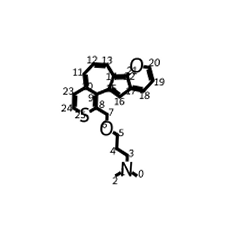 CN(C)CCCOCC1=c2c(cccc3c2cc2cccoc23)C=CS1